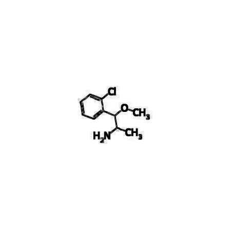 COC(c1ccccc1Cl)C(C)N